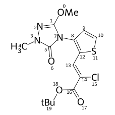 COc1nn(C)c(=O)n1-c1ccsc1C=C(Cl)C(=O)OC(C)(C)C